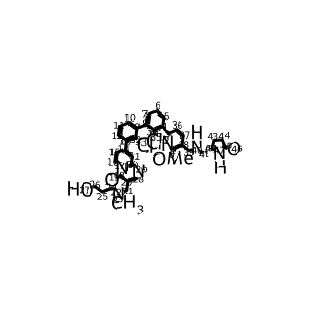 COc1nc(-c2cccc(-c3cccc(-c4ccn5c(=O)c(CN(C)CCCO)cnc5c4)c3Cl)c2Cl)ccc1CNC[C@@H]1CCC(=O)N1